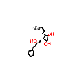 CCCC/C=C\C[C@@H]1[C@@H](/C=C/[C@H](O)CCc2ccccc2)[C@H](O)C[C@@H]1O